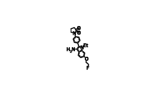 CCn1c(-c2ccc(N3CCCS3(=O)=O)cc2)c(N)c2ccc(OCCF)cc21